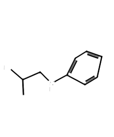 CCC(O)CNc1c[c]ccc1